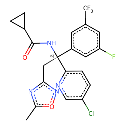 Cc1nc(C[C@](NC(=O)C2CC2)(c2cc(F)cc(C(F)(F)F)c2)c2ccc(Cl)cn2)no1